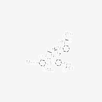 C=N/C(=N\C1=C(C)CN(c2c(Cl)c(OC)cc(OC)c2Cl)C(=O)N1Cc1cccc(NC(=O)CC)c1)Nc1ccccc1NC(=O)OC(C)(C)C